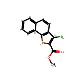 COC(=O)c1sc2c(ccc3ccccc32)c1Br